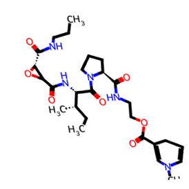 CCCNC(=O)[C@H]1OC1C(=O)N[C@H](C(=O)N1CCC[C@H]1C(=O)NCCOC(=O)C1=CN(C)C=CC1)[C@@H](C)CC